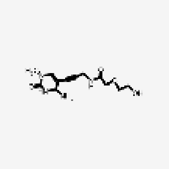 CN1C=C(C#CCNC(=O)COCCO)C(N)NC1=O